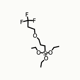 CCO[Si](CCCOCCC(F)(F)F)(OCC)OCC